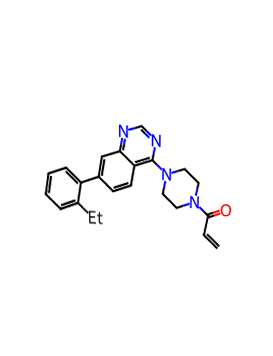 C=CC(=O)N1CCN(c2ncnc3cc(-c4ccccc4CC)ccc23)CC1